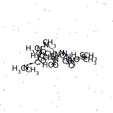 Cc1cc(N(CCCCCN(C)CCN(C)C(=O)OC(C)(C)C)c2nc(C(=O)O)c(CCCOc3ccc(C#CCN(C)C)cc3F)s2)nnc1/N=c1\sc2ccccc2n1COCC[Si](C)(C)C